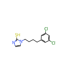 Sc1nccn1CCCCc1cc(Cl)cc(Cl)c1